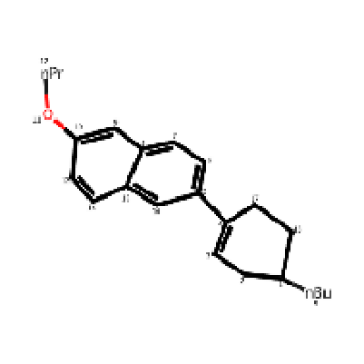 CCCCC1CC=C(c2ccc3cc(OCCC)ccc3c2)CC1